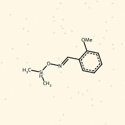 COc1ccccc1C=NO[SiH](C)C